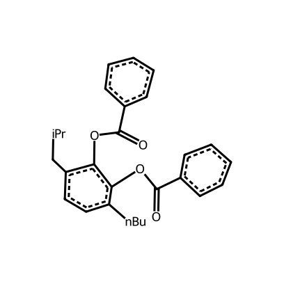 CCCCc1ccc(CC(C)C)c(OC(=O)c2ccccc2)c1OC(=O)c1ccccc1